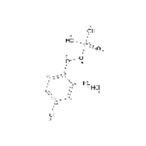 Cl.Cl.O=P(O)(O)OOc1ccc(Cl)cc1